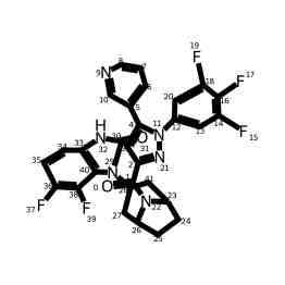 O=C(c1cc(-c2cccnc2)n(-c2cc(F)c(F)c(F)c2)n1)N1C2CCC1CC(n1c(=O)[nH]c3ccc(F)c(F)c31)C2